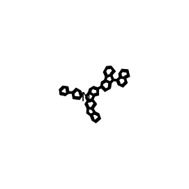 c1ccc(-c2ccc(-n3c4ccc(-c5ccc6c(c5)-c5ccccc5C6c5cccc6ccccc56)cc4c4cc5c(cc43)Cc3ccccc3-5)cc2)cc1